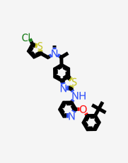 CC(c1ccc2nc(Nc3cccnc3Oc3ccccc3C(C)(C)C)sc2c1)N(C)Cc1ccc(Cl)s1